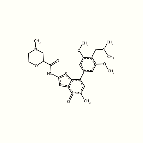 COc1cc(-c2cn(C)c(=O)c3cc(NC(=O)C4CN(C)CCO4)sc23)cc(OC)c1CN(C)C